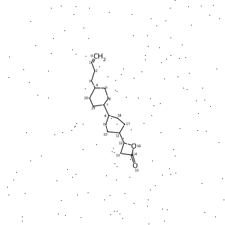 C=CCCC1CCC(C2CCC(C3CC(=O)O3)CC2)CC1